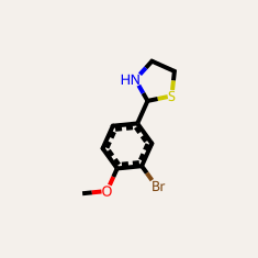 COc1ccc(C2NCCS2)cc1Br